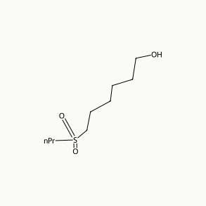 CCCS(=O)(=O)CCCCCCO